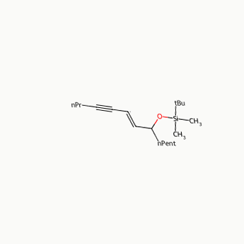 CCCC#C/[C]=C/C(CCCCC)O[Si](C)(C)C(C)(C)C